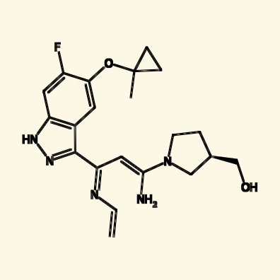 C=C/N=C(\C=C(/N)N1CC[C@@H](CO)C1)c1n[nH]c2cc(F)c(OC3(C)CC3)cc12